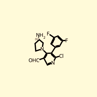 N[C@H]1CCN(c2c(C=O)cnc(Cl)c2-c2cc(F)cc(F)c2)C1